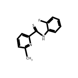 Cc1cccc(C(=S)Nc2ccccc2F)n1